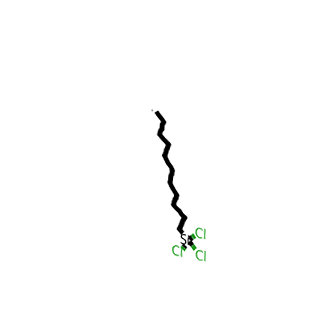 [CH2]CCCCCCCCCC[Si](Cl)(Cl)Cl